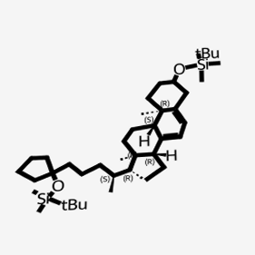 C[C@@H](CCCC1(O[Si](C)(C)C(C)(C)C)CCCC1)[C@H]1CC[C@H]2C3=CC=C4CC(O[Si](C)(C)C(C)(C)C)CC[C@]4(C)[C@H]3CC[C@]12C